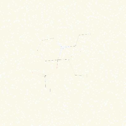 CC(=O)OC1(C(=O)CCl)CCCCN1C(=O)CCl